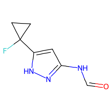 O=CNc1cc(C2(F)CC2)[nH]n1